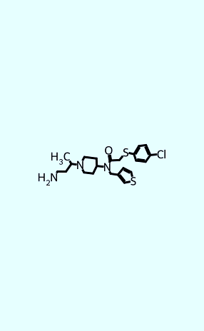 CC(CCN)N1CCC(N(Cc2ccsc2)C(=O)CSc2ccc(Cl)cc2)CC1